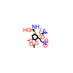 COc1cccc(C(C[N+](=O)[O-])OC(=S)N(C)C)c1OC(C)=O.NC(O)=S